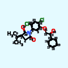 CC(C)=C1CC(=O)N(c2cc(OCC(=O)c3ccccc3)c(Cl)cc2Cl)C1=O